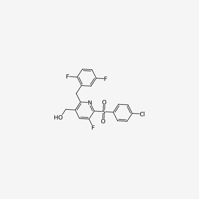 O=S(=O)(c1ccc(Cl)cc1)c1nc(Cc2cc(F)ccc2F)c(CO)cc1F